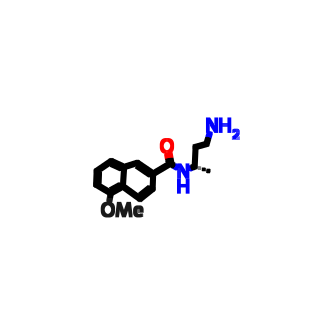 COc1cccc2cc(C(=O)N[C@@H](C)CCN)ccc12